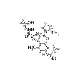 CC[C@H](Nc1cc(C)c(-c2sc(C(=O)NCC3(O)CC3)nc2C(=O)N2CCC[C@@H]2C)cn1)C1CC1